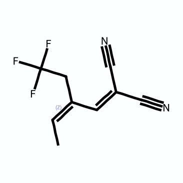 C/C=C(\C=C(C#N)C#N)CC(F)(F)F